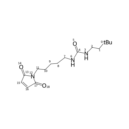 CC(C)(C)CCNC(=O)NCCCCCN1C(=O)C=CC1=O